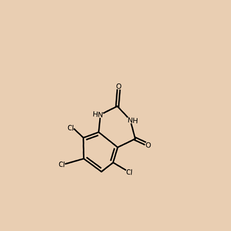 O=c1[nH]c(=O)c2c(Cl)cc(Cl)c(Cl)c2[nH]1